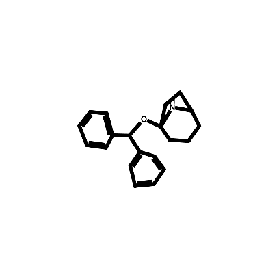 c1ccc(C(OC23CCCC(CC2)N3)c2ccccc2)cc1